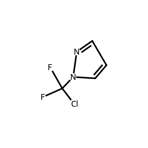 FC(F)(Cl)n1cccn1